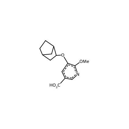 COc1ncc(C(=O)O)cc1OC1CC2CCC1C2